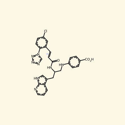 O=C(/C=C/c1cc(Cl)ccc1-n1cnnn1)NC(CNc1ccc(C(=O)O)cc1)Cc1c[nH]c2ncccc12